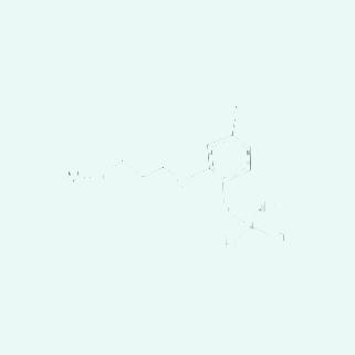 COCCCOc1cc(C(C)=O)ccc1O[Si](C(C)C)(C(C)C)C(C)C